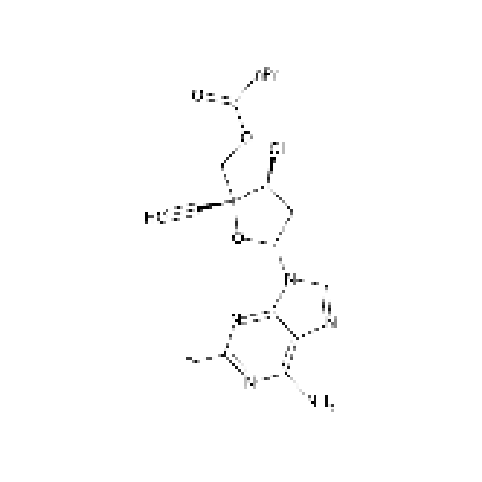 C#C[C@]1(COC(=O)CCC)O[C@@H](n2cnc3c(N)nc(F)nc32)C[C@@H]1O